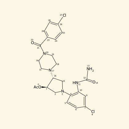 CC(=O)O[C@@H]1CN(c2ccc(Cl)cc2NC(N)=O)C[C@H]1N1CCN(C(=O)c2ccc(Cl)cc2)CC1